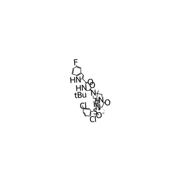 C[C@H](N[S+]([O-])c1cc(Cl)ccc1Cl)C(=O)N1CC2(C)[C@H]1CN2C(=O)[C@@H](NC(=O)c1cc2cc(F)ccc2[nH]1)C(C)(C)C